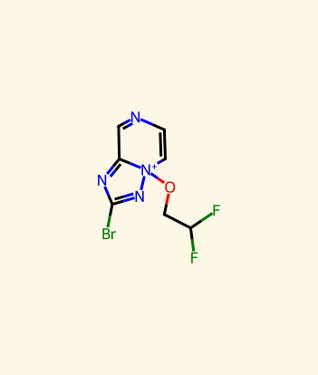 FC(F)CO[N+]12C=CN=CC1=NC(Br)=N2